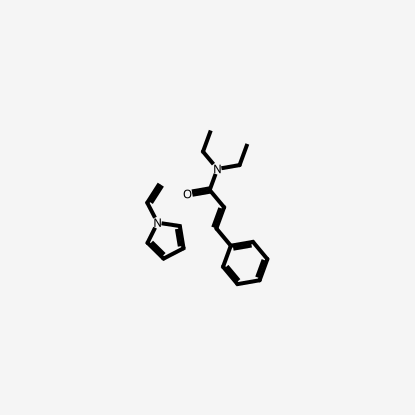 C=Cn1cccc1.CCN(CC)C(=O)C=Cc1ccccc1